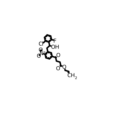 C=CCOC(=O)CCC(=O)c1ccc([N+](=O)[O-])c(CC(O)c2c(F)cccc2Cl)c1